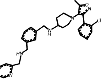 Cc1onc(-c2ccccc2Cl)c1N1CCC(NCc2cccc(CNCc3ccccn3)c2)CC1